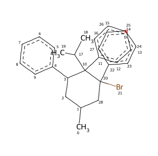 CC1CC(c2ccccc2)C(c2ccccc2)(C(C)C)C(Br)(c2ccccc2)C1